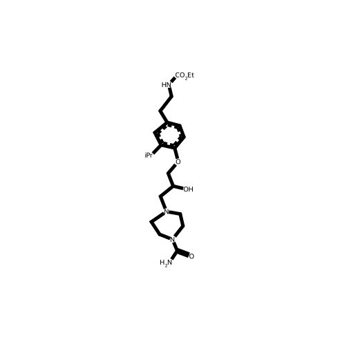 CCOC(=O)NCCc1ccc(OCC(O)CN2CCN(C(N)=O)CC2)c(C(C)C)c1